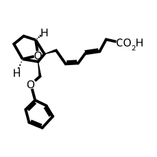 O=C(O)CC=C/C=C\C[C@H]1[C@@H](COc2ccccc2)[C@H]2CC[C@@H]1O2